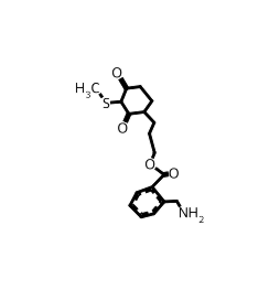 CSC1C(=O)CCC(CCCOC(=O)c2ccccc2CN)C1=O